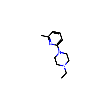 CCN1CCN(c2cccc(C)n2)CC1